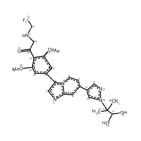 COc1cc(-c2cnc3cc(-c4cnn(C(C)(C)C(O)O)c4)ccn23)cc(OC)c1C(=O)CNCC(F)(F)F